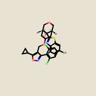 N#Cc1cc(F)c2nc([C@@]3(O)[C@@H]4COC[C@H]3CC(OCc3c(-c5c(Cl)cccc5Cl)noc3C3CC3)C4)sc2c1